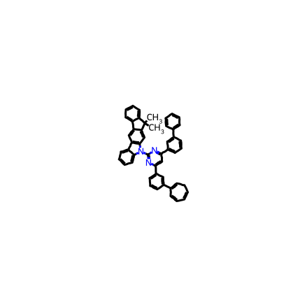 CC1(C)c2ccccc2-c2cc3c4ccccc4n(-c4nc(-c5cccc(C6=CCC=CC=C6)c5)cc(-c5cccc(-c6ccccc6)c5)n4)c3cc21